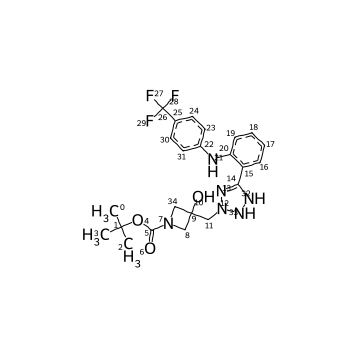 CC(C)(C)OC(=O)N1CC(O)(CN2N=C(c3ccccc3Nc3ccc(C(F)(F)F)cc3)NN2)C1